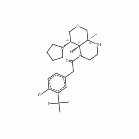 O=C(Cc1ccc(Cl)c(C(F)(F)F)c1)N1CCN[C@@H]2COC[C@H](N3CCCC3)[C@H]21